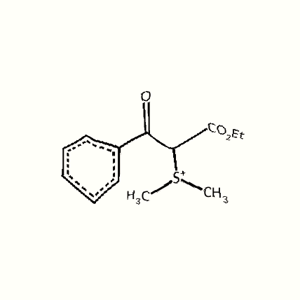 CCOC(=O)C(C(=O)c1ccccc1)[S+](C)C